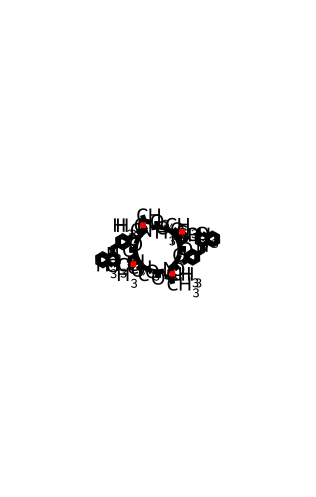 CC(C)C[C@H]1C(=O)O[C@H](Cc2ccc(CN3CCOc4ccccc43)cc2)C(=O)N(C)[C@@H](CC(C)C)C(=O)O[C@H](C)C(=O)N(C)[C@@H](CC(C)C)C(=O)O[C@H](Cc2ccc(CN3CCOc4ccccc43)cc2)C(=O)N(C)[C@@H](CC(C)C)C(=O)O[C@H](C)C(=O)N1C